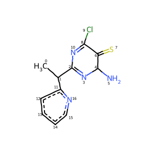 CC(C1=NC(N)C(=S)C(Cl)=N1)c1ccccn1